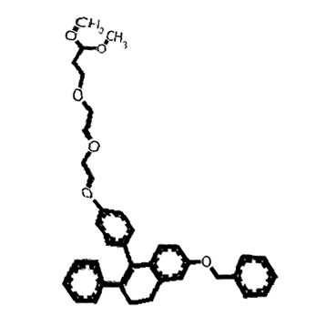 COC(CCOCCOCCOc1ccc(C2=C(c3ccccc3)CCc3cc(OCc4ccccc4)ccc32)cc1)OC